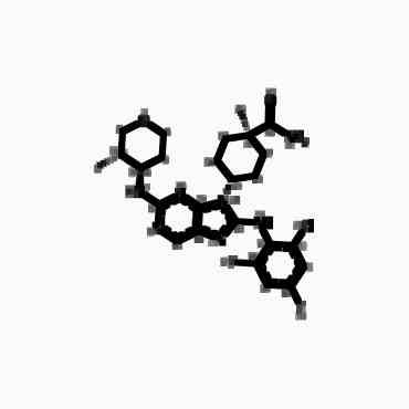 C[C@@H]1COCC[C@H]1Nc1ncc2nc(Nc3c(F)cc(F)cc3Cl)n([C@H]3CC[C@](C)(C(N)=O)CC3)c2n1